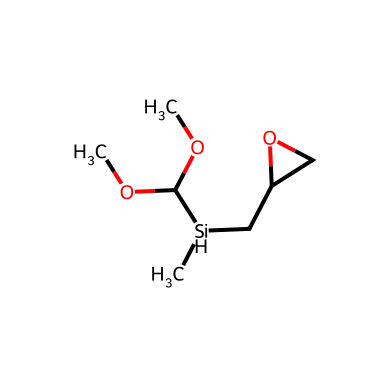 COC(OC)[SiH](C)CC1CO1